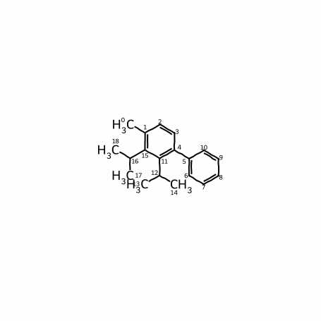 Cc1ccc(-c2ccccc2)c(C(C)C)c1C(C)C